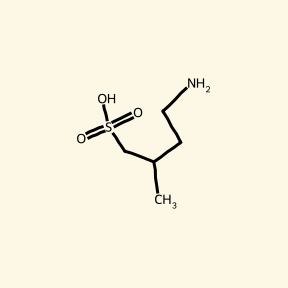 CC(CCN)CS(=O)(=O)O